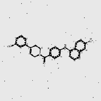 CCCc1cccc(C2=CCN(C(=O)c3ccc(Nc4ccnc5cc(C(F)(F)F)ccc45)cc3)CC2)c1